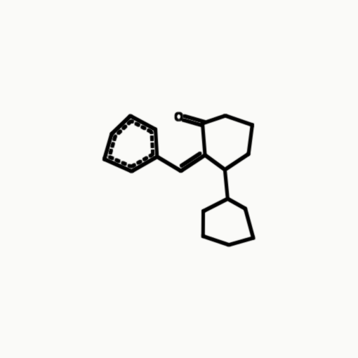 O=C1CCCC(C2CCCCC2)C1=Cc1ccccc1